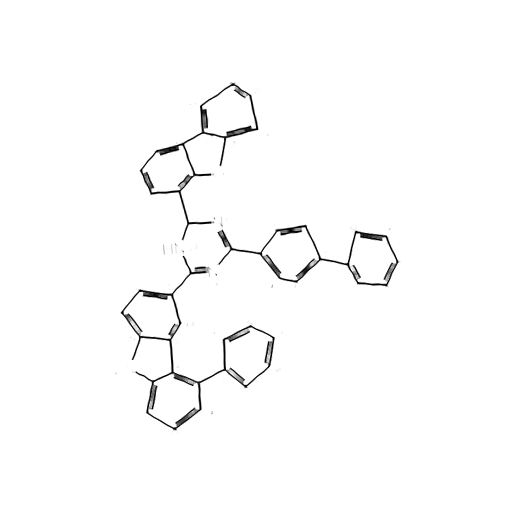 c1ccc(-c2ccc(C3=NC(c4cccc5c4oc4ccccc45)NC(c4ccc5sc6cccc(-c7ccccc7)c6c5c4)=N3)cc2)cc1